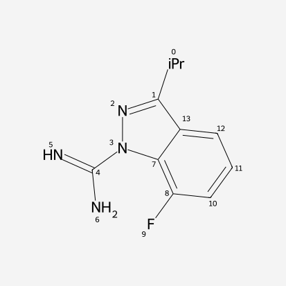 CC(C)c1nn(C(=N)N)c2c(F)cccc12